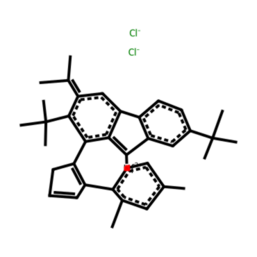 CC(C)=c1cc2c(c(C3=C(c4ccc(C)cc4C)C=CC3)c1C(C)(C)C)=[C]([Hf+2])c1cc(C(C)(C)C)ccc1-2.[Cl-].[Cl-]